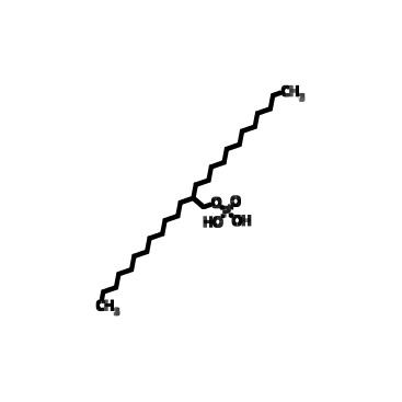 CCCCCCCCCCCCC(CCCCCCCCCCCC)COP(=O)(O)O